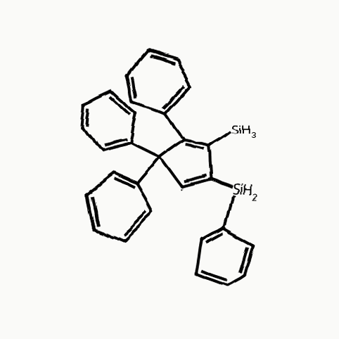 [SiH3]C1=C(c2ccccc2)C(c2ccccc2)(c2ccccc2)[C]=C1[SiH2]c1ccccc1